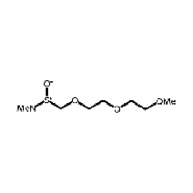 CN[S+]([O-])COCCOCCOC